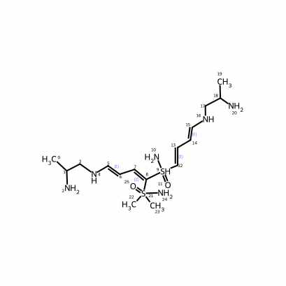 CC(N)CN/C=C/C=C(/[SH](N)(=O)/C=C/C=C/NCC(C)N)S(C)(C)(N)=O